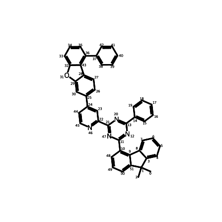 CC1(C)c2ccccc2-c2c(-c3nc(-c4ccccc4)nc(-c4cc(-c5ccc6c(c5)oc5cccc(-c7ccccc7)c56)ccn4)n3)cccc21